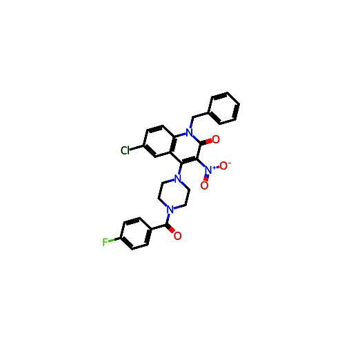 O=C(c1ccc(F)cc1)N1CCN(c2c([N+](=O)[O-])c(=O)n(Cc3ccccc3)c3ccc(Cl)cc23)CC1